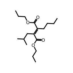 CCCCC(C(=O)OCCC)=C(CC(C)C)C(=O)OCCC